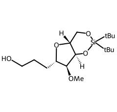 CO[C@@H]1[C@@H]2O[Si](C(C)(C)C)(C(C)(C)C)OC[C@H]2O[C@H]1CCCO